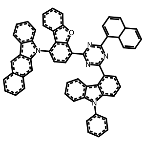 C1=CC2C=CC=C(c3nc(-c4ccc(-n5c6ccccc6c6cc7ccccc7cc65)c5c4oc4ccccc45)nc(-c4cccc5c4c4ccccc4n5-c4ccccc4)n3)C2C=C1